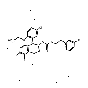 O=C(O)COc1ccc(Cl)cc1[C@@H]1c2ccc(F)c(F)c2CCN1OC(=O)OCCc1cccc(F)c1